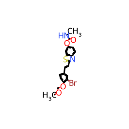 CNC(=O)Oc1ccc2nc(C=Cc3ccc(OCOC)c(Br)c3)sc2c1